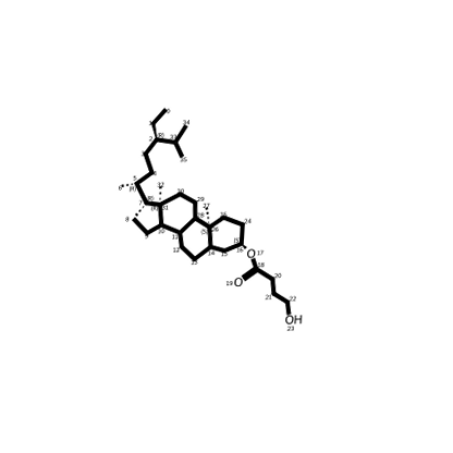 CC[C@H](CC[C@@H](C)[C@H]1CCC2C3CCC4C[C@@H](OC(=O)CCCO)CC[C@]4(C)C3CC[C@@]21C)C(C)C